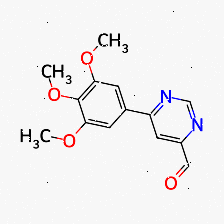 COc1cc(-c2cc(C=O)ncn2)cc(OC)c1OC